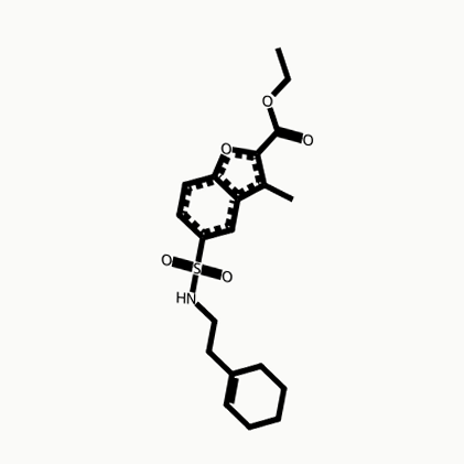 CCOC(=O)c1oc2ccc(S(=O)(=O)NCCC3=CCCCC3)cc2c1C